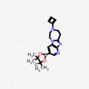 CC1(C)OB(c2cnc3nc4n(c3c2)CCN(C2=CC=C2)CC4)OC1(C)C